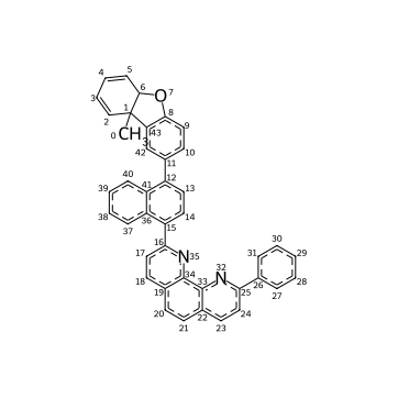 CC12C=CC=CC1Oc1ccc(-c3ccc(-c4ccc5ccc6ccc(-c7ccccc7)nc6c5n4)c4ccccc34)cc12